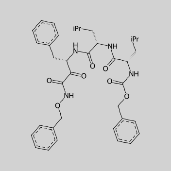 CC(C)C[C@H](NC(=O)OCc1ccccc1)C(=O)N[C@@H](CC(C)C)C(=O)N[C@@H](Cc1ccccc1)C(=O)C(=O)NOCc1ccccc1